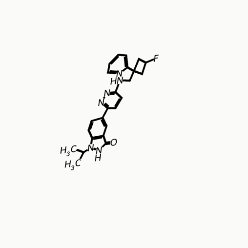 CC(C)n1[nH]c(=O)c2cc(-c3ccc(NCC4(c5ccccn5)CC(F)C4)nn3)ccc21